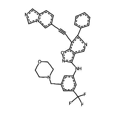 FC(F)(F)c1cc(CN2CCOCC2)cc(Nc2noc3c(C#Cc4ccc5cncn5c4)c(-c4ccccc4)ncc23)c1